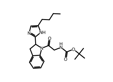 CCCCc1cnc(C2Cc3ccccc3N2C(=O)CNC(=O)OC(C)(C)C)[nH]1